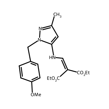 CCOC(=O)C(=CNc1cc(C)nn1Cc1ccc(OC)cc1)C(=O)OCC